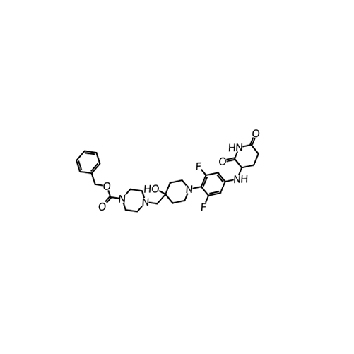 O=C1CCC(Nc2cc(F)c(N3CCC(O)(CN4CCN(C(=O)OCc5ccccc5)CC4)CC3)c(F)c2)C(=O)N1